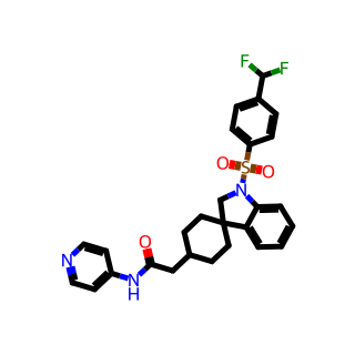 O=C(CC1CCC2(CC1)CN(S(=O)(=O)c1ccc(C(F)F)cc1)c1ccccc12)Nc1ccncc1